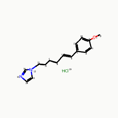 COc1ccc(/C=C/CCCCn2ccnc2)cc1.Cl